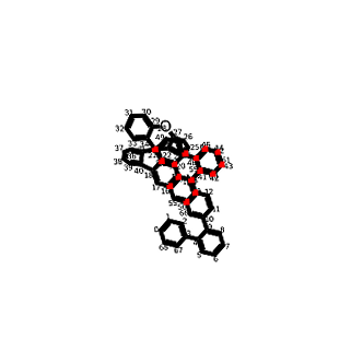 c1ccc(-c2ccccc2-c2ccc(N(c3ccc4c(c3)C3(c5ccccc5Oc5ccccc53)c3ccccc3-4)c3ccccc3-c3ccccc3-c3ccccc3-c3ccccc3)cc2)cc1